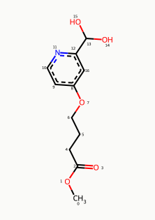 COC(=O)CCCOc1ccnc(C(O)O)c1